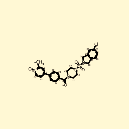 Cc1cc(-c2ccc(C(=O)N3CCN(S(=O)(=O)N4Cc5ccc(Cl)cc5C4)CC3)cc2)cc[n+]1[O-]